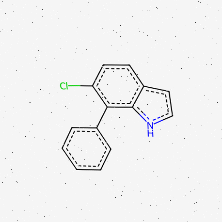 Clc1ccc2cc[nH]c2c1-c1ccccc1